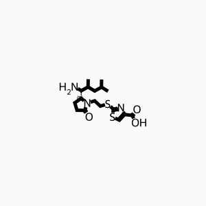 CC(C)CC(C)C(N)[C@H]1CCC(=O)N1CCSc1nc(C(=O)O)cs1